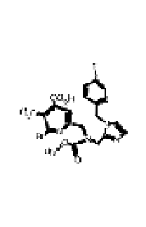 Cc1c(C(=O)O)cc(CN(Cc2nccn2Cc2ccc(F)cc2)C(=O)OC(C)(C)C)nc1Br